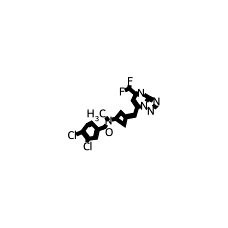 CN(C(=O)c1ccc(Cl)c(Cl)c1)C1CC(=Cc2cc(C(F)F)nc3ncnn23)C1